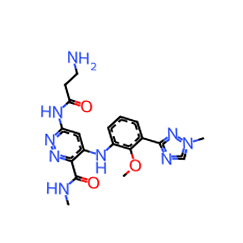 CNC(=O)c1nnc(NC(=O)CCN)cc1Nc1cccc(-c2ncn(C)n2)c1OC